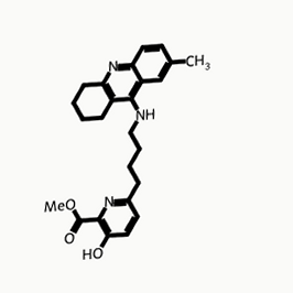 COC(=O)c1nc(CCCCNc2c3c(nc4ccc(C)cc24)CCCC3)ccc1O